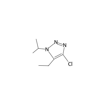 CCc1c(Cl)nnn1C(C)C